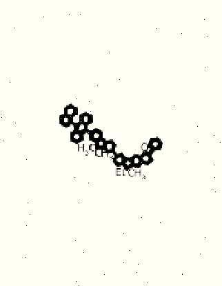 CCC1(C)c2ccc(-c3ccc4c(c3)C(C)(C)c3cc(-c5c6ccccc6c(-c6cccc7ccccc67)c6ccccc56)ccc3-4)cc2-c2cc3c(ccc4c5ccccc5oc34)cc21